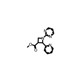 COC(=O)C1CN(c2ncccn2)C1c1ccccn1